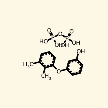 Cc1cccc(Oc2cccc(O)c2)c1C.O=P(O)(O)OP(=O)(O)O